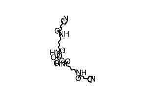 O=C(/C=C/c1ccncc1)NCCCCCC(=O)NOC(=O)C(=O)ONC(=O)CCCCCNC(=O)/C=C/c1ccncc1